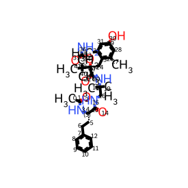 CC(=O)N[C@@H](CCc1ccccc1)C(=O)NCC(C)(C)NC(=O)[C@@](Cc1c(C)cc(O)cc1C)(OC(N)=O)C(C)(C)C